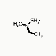 CCN(C)[SiH2]